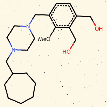 COc1c(CN2CCN(CC3CCCCCC3)CC2)ccc(CO)c1CO